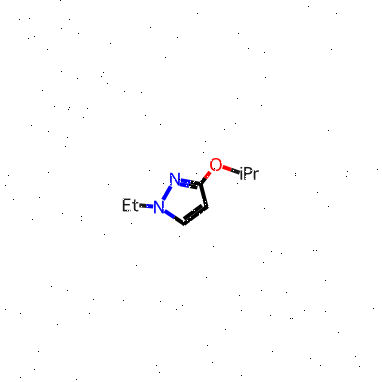 CCn1ccc(OC(C)C)n1